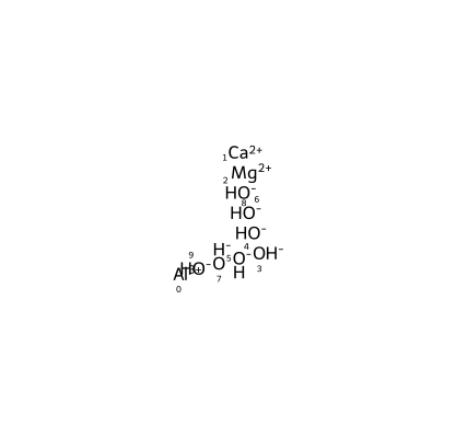 [Al+3].[Ca+2].[Mg+2].[OH-].[OH-].[OH-].[OH-].[OH-].[OH-].[OH-]